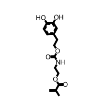 C=C(C)C(=O)OCCNC(=O)OCCc1ccc(O)c(O)c1